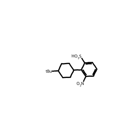 CC(C)(C)C1CCC(c2c([N+](=O)[O-])cccc2S(=O)(=O)O)CC1